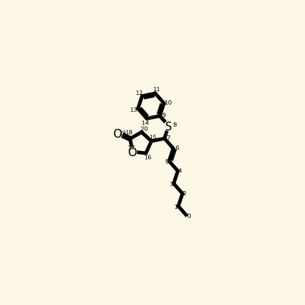 CCCCC/C=C/C(Sc1ccccc1)C1COC(=O)C1